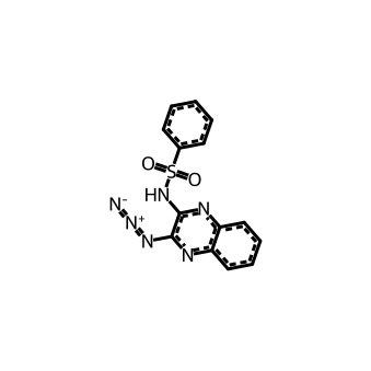 [N-]=[N+]=Nc1nc2ccccc2nc1NS(=O)(=O)c1ccccc1